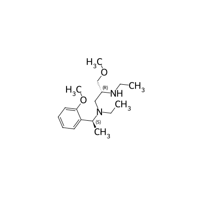 CCN[C@@H](COC)CN(CC)[C@@H](C)c1ccccc1OC